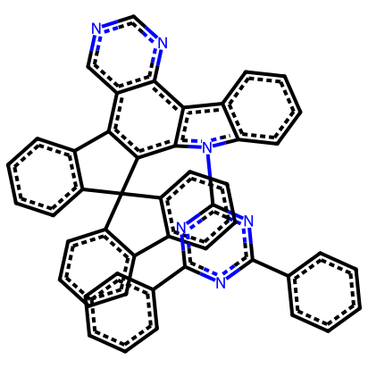 c1ccc(-c2nc(-c3ccccc3)nc(-n3c4ccccc4c4c5ncncc5c5c(c43)C3(c4ccccc4-c4ccccc43)c3ccccc3-5)n2)cc1